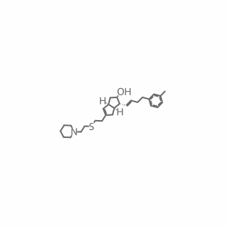 Cc1cccc(CC/C=C/[C@@H]2[C@H]3CC(CCSCCN4CCCCC4)=C[C@H]3C[C@H]2O)c1